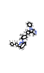 c1ccc(-c2ccc3c(c2)c2ccccc2n3-c2ccc(-c3ccc4c(c3)c3ccncc3n4-c3ccccc3)cc2)cc1